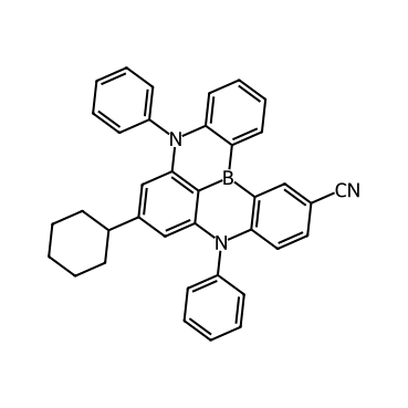 N#Cc1ccc2c(c1)B1c3ccccc3N(c3ccccc3)c3cc(C4CCCCC4)cc(c31)N2c1ccccc1